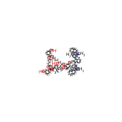 CCCC1CC(CC(O)CCCC2CC(CCCC3CC(CC)OC(c4cccc(O)c4)O3)OC(c3cccc(O)c3)O2)OC(c2cccc(OCCC3=C(/C=C/C4=[N+](C)c5ccc6ccccc6c5C4(C)C)c4ccccc4/C3=C\C=C3\N(C)c4ccc5ccccc5c4C3(C)C)c2)O1